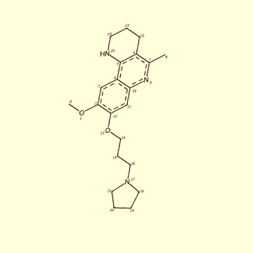 COc1cc2c3c(c(C)nc2cc1OCCCN1CCCC1)CCCN3